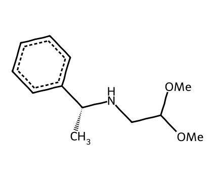 COC(CN[C@H](C)c1ccccc1)OC